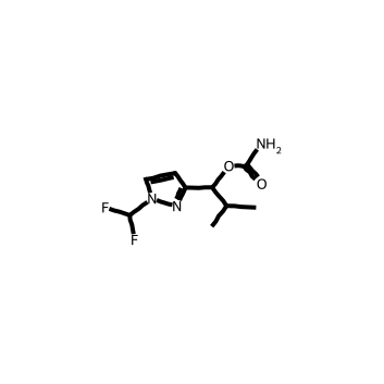 CC(C)C(OC(N)=O)c1ccn(C(F)F)n1